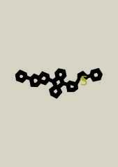 c1ccc(-c2ccc3cc(-c4c5ccccc5c(-c5cccc(-c6ccc(-c7ccccc7)s6)c5)c5ccccc45)ccc3c2)cc1